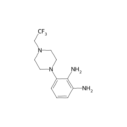 Nc1cccc(N2CCN(CC(F)(F)F)CC2)c1N